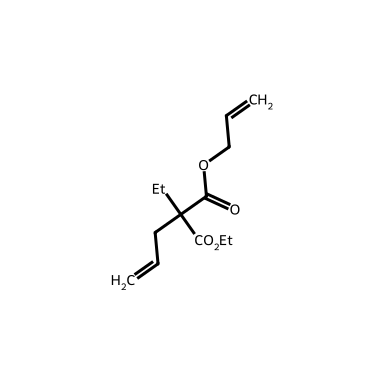 C=CCOC(=O)C(CC)(CC=C)C(=O)OCC